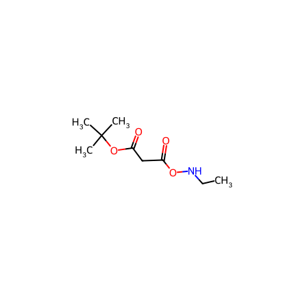 CCNOC(=O)CC(=O)OC(C)(C)C